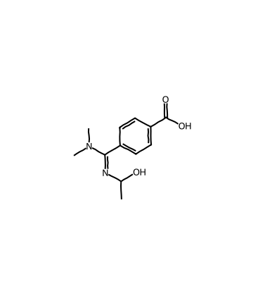 CC(O)/N=C(\c1ccc(C(=O)O)cc1)N(C)C